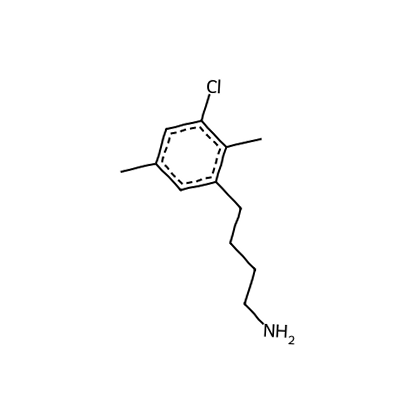 Cc1cc(Cl)c(C)c(CCCCN)c1